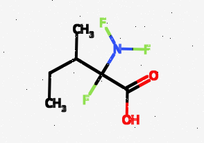 CCC(C)C(F)(C(=O)O)N(F)F